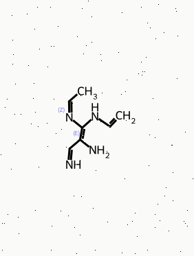 C=CNC(/N=C\C)=C(\N)C=N